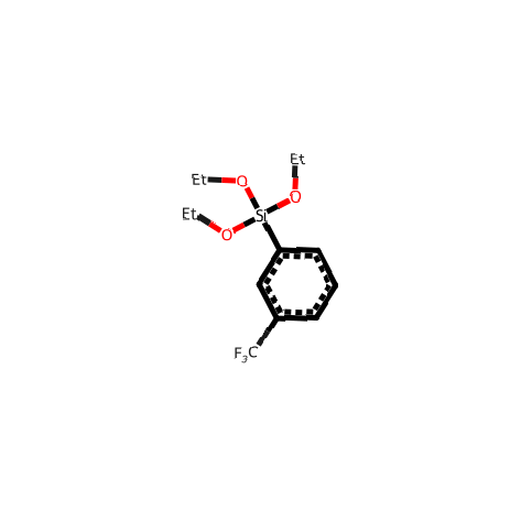 CCO[Si](OCC)(OCC)c1cccc(C(F)(F)F)c1